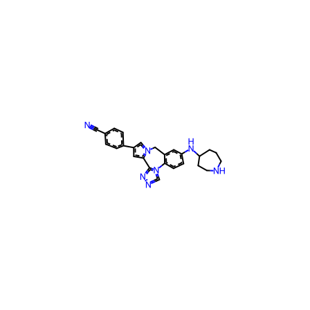 N#Cc1ccc(-c2cc3n(c2)Cc2cc(NC4CCCNCC4)ccc2-n2cnnc2-3)cc1